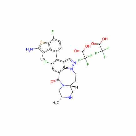 C[C@@H]1CN2C(=O)c3cc(F)c(-c4ccc(F)c5sc(N)c(C#N)c45)c4cnn(c34)CC[C@@H]2CN1.O=C(O)C(F)(F)F.O=C(O)C(F)(F)F